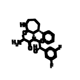 C[C@H](N)C(=O)N(C(=O)[C@@H](O)c1cc(F)cc(F)c1)[C@@H]1C(=O)NCCC[C@@H]1c1ccccc1